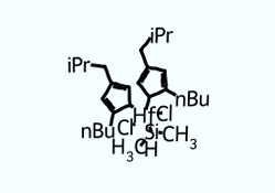 CCCCC1=CC(CC(C)C)=C[CH]1[Hf]([Cl])([Cl])([CH]1C=C(CC(C)C)C=C1CCCC)[SiH](C)C